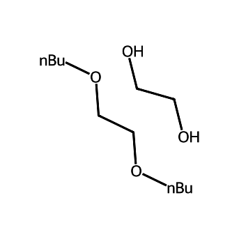 CCCCOCCOCCCC.OCCO